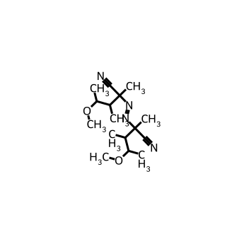 COC(C)C(C)C(C)(C#N)N=NC(C)(C#N)C(C)C(C)OC